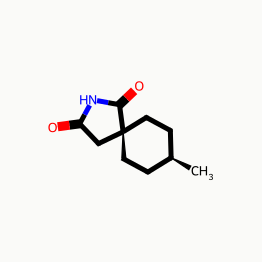 C[C@H]1CC[C@@]2(CC1)CC(=O)NC2=O